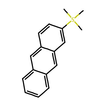 CS(C)(C)c1ccc2cc3ccccc3cc2c1